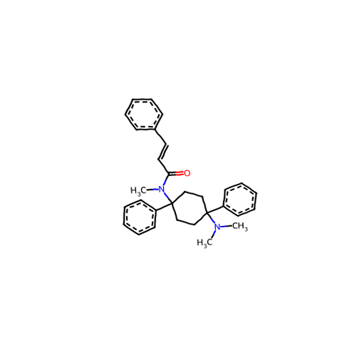 CN(C)C1(c2ccccc2)CCC(c2ccccc2)(N(C)C(=O)C=Cc2ccccc2)CC1